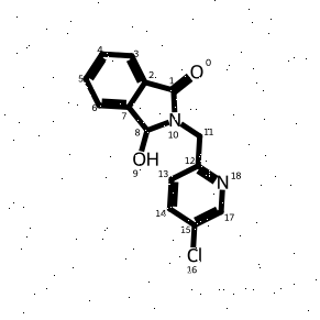 O=C1c2ccccc2C(O)N1Cc1ccc(Cl)cn1